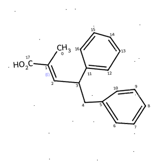 C/C(=C\C(Cc1ccccc1)c1ccccc1)C(=O)O